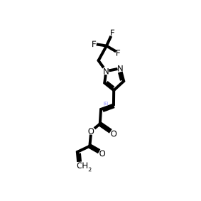 C=CC(=O)OC(=O)/C=C/c1cnn(CC(F)(F)F)c1